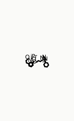 CC(C)C(=O)N1C(=O)CCc2cccc(OCCCc3nnnn3C3CCCCC3)c21